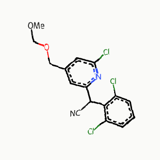 COCOCc1cc(Cl)nc(C(C#N)c2c(Cl)cccc2Cl)c1